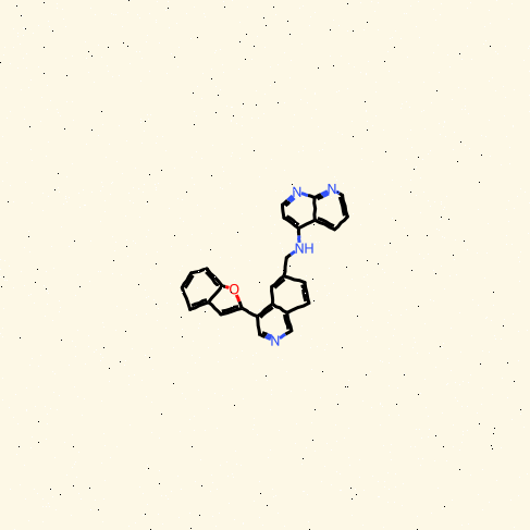 c1ccc2oc(-c3cncc4ccc(CNc5ccnc6ncccc56)cc34)cc2c1